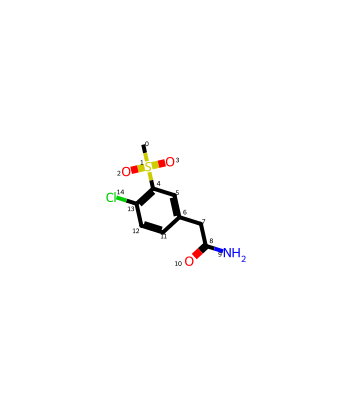 CS(=O)(=O)c1cc(CC(N)=O)ccc1Cl